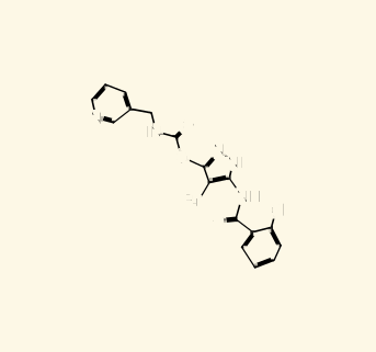 O=C(NCc1cccnc1)Oc1n[nH]c(NC(=O)c2ccccc2Cl)c1Br